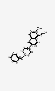 O=Cc1c(O)ccc2cc(N3CCN(Cc4ccccc4)CC3)ccc12